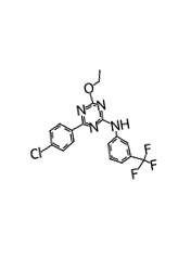 CCOc1nc(Nc2cccc(C(F)(F)F)c2)nc(-c2ccc(Cl)cc2)n1